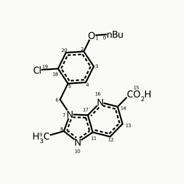 CCCCOc1ccc(Cn2c(C)nc3ccc(C(=O)O)nc32)c(Cl)c1